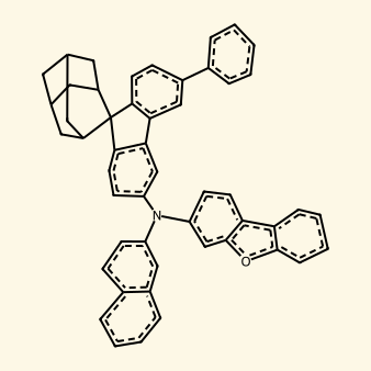 c1ccc(-c2ccc3c(c2)-c2cc(N(c4ccc5ccccc5c4)c4ccc5c(c4)oc4ccccc45)ccc2C32C3CC4CC(C3)CC2C4)cc1